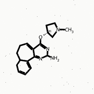 CN1CC[C@@H](OC2=NC(N)N=C3C2=CCCC2CC=CC=C32)C1